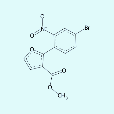 COC(=O)c1ccoc1-c1ccc(Br)cc1[N+](=O)[O-]